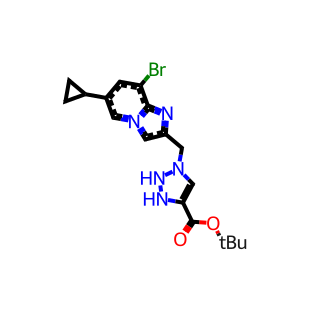 CC(C)(C)OC(=O)C1=CN(Cc2cn3cc(C4CC4)cc(Br)c3n2)NN1